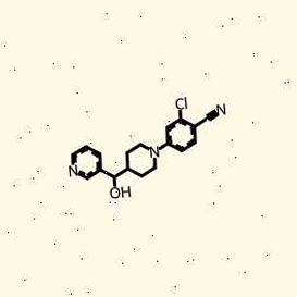 N#Cc1ccc(N2CCC(C(O)c3cccnc3)CC2)cc1Cl